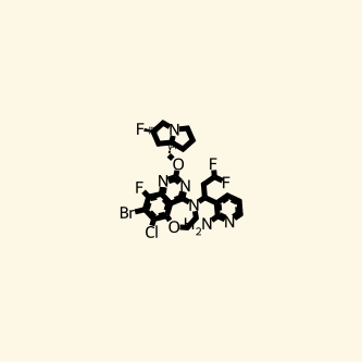 Nc1ncccc1C(CC(F)F)N1CCOc2c(Cl)c(Br)c(F)c3nc(OC[C@@]45CCCN4C[C@H](F)C5)nc1c23